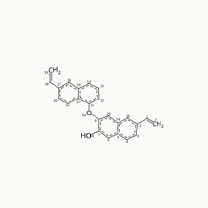 C=Cc1ccc2cc(O)c(Oc3cccc4cc(C=C)ccc34)cc2c1